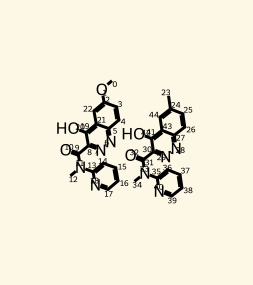 COc1ccc2nnc(C(=O)N(C)c3ccccn3)c(O)c2c1.Cc1ccc2nnc(C(=O)N(C)c3ccccn3)c(O)c2c1